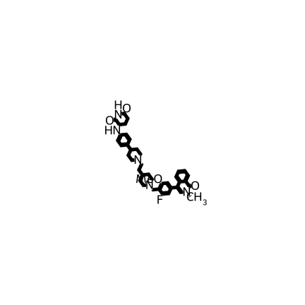 COc1cc(-c2cn(C)c(=O)c3ccccc23)cc(F)c1CN1CCC(CCN2CCC(c3ccc(NC4CCC(=O)NC4=O)cc3)CC2)CC1